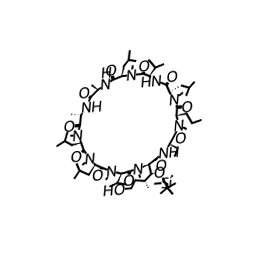 CCC[C@@H]1C(=O)N(C)[C@@H](CC(C)C)C(=O)N[C@H](C(C)C)C(=O)N(C)[C@H](CC(C)C)C(=O)N[C@H](C)C(=O)N[C@@H](C)C(=O)N(C)[C@H](CC(C)C)C(=O)N(C)[C@H](CC(C)C)C(=O)N(C)[C@H](C(C)C)C(=O)N(C)[C@H]([C@H](O[Si](C)(C)C(C)(C)C)[C@H](C)CCO)C(=O)N[C@H](CC)C(=O)N1C